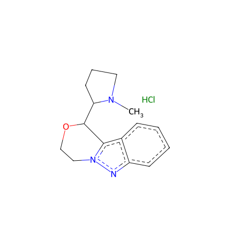 CN1CCCC1C1OCCn2nc3ccccc3c21.Cl